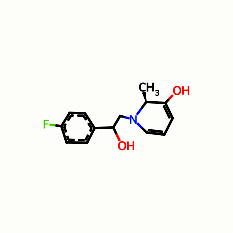 C[C@H]1C(O)=CC=CN1CC(O)c1ccc(F)cc1